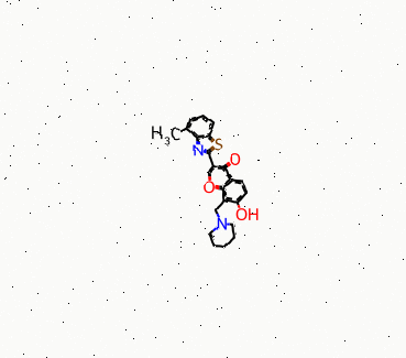 Cc1cccc2sc(-c3coc4c(CN5CCCCC5)c(O)ccc4c3=O)nc12